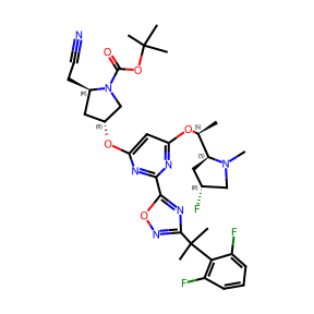 C[C@H](Oc1cc(O[C@@H]2C[C@@H](CC#N)N(C(=O)OC(C)(C)C)C2)nc(-c2nc(C(C)(C)c3c(F)cccc3F)no2)n1)[C@@H]1C[C@@H](F)CN1C